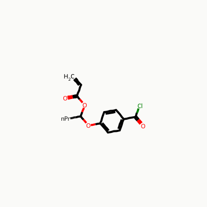 C=CC(=O)OC(CCC)Oc1ccc(C(=O)Cl)cc1